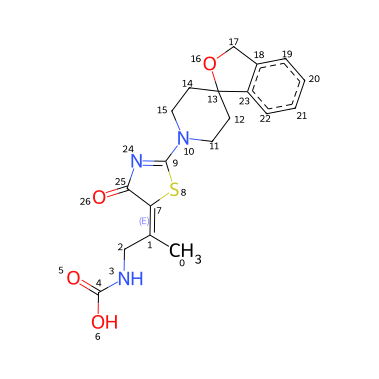 C/C(CNC(=O)O)=C1\SC(N2CCC3(CC2)OCc2ccccc23)=NC1=O